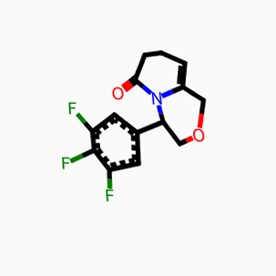 O=C1CCC=C2COCC(c3cc(F)c(F)c(F)c3)N12